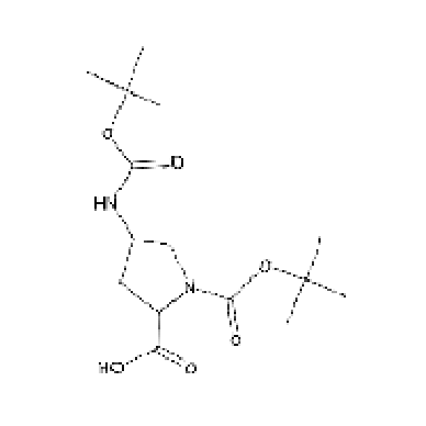 CC(C)(C)OC(=O)NC1CC(C(=O)O)N(C(=O)OC(C)(C)C)C1